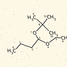 CCCC(OCC)OC(C)(C)C